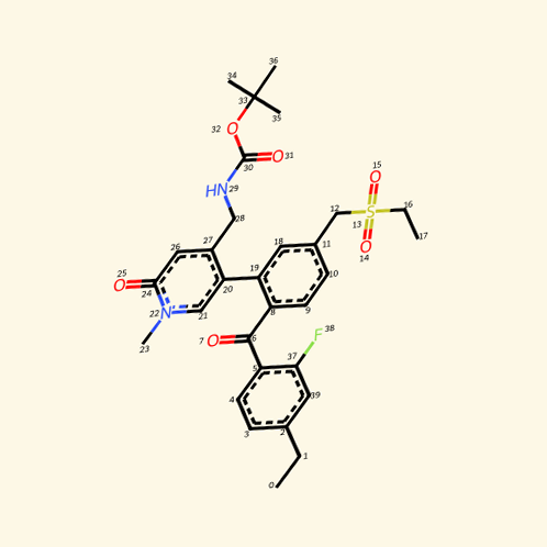 CCc1ccc(C(=O)c2ccc(CS(=O)(=O)CC)cc2-c2cn(C)c(=O)cc2CNC(=O)OC(C)(C)C)c(F)c1